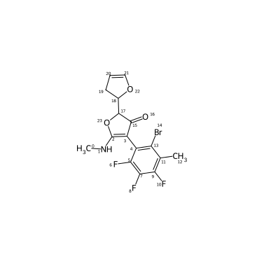 CNC1=C(c2c(F)c(F)c(F)c(C)c2Br)C(=O)C(C2CC=CO2)O1